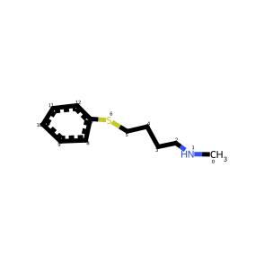 CNCCCCSc1ccccc1